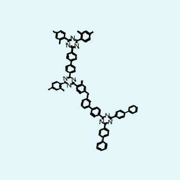 Cc1ccc(-c2nc(-c3ccc(-c4ccc(-c5nc(-c6ccc(C)cc6C)nc(-c6ccc(Cc7cccc(-c8ccc(-c9nc(-c%10ccc(-c%11ccccc%11)cc%10)nc(-c%10ccc(-c%11ccccc%11)cc%10)n9)cc8)c7)cc6C)n5)cc4)cc3)nc(-c3ccc(C)cc3C)n2)c(C)c1